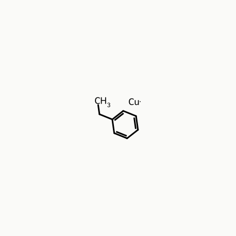 CCc1ccccc1.[Cu]